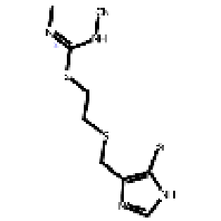 C/N=C(\NC#N)SCCSCc1nc[nH]c1Br